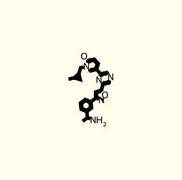 CC(N)c1cccc(-c2cc(-c3cncc(-c4ccc(=O)n(CC5CC5C)c4)n3)on2)c1